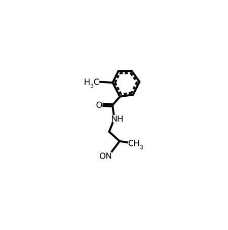 Cc1ccccc1C(=O)NCC(C)N=O